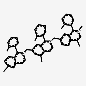 Cc1ccc2c(-c3ccccc3C)[n+](Cc3cc(C)c4cc[n+](Cc5ccc6c(C)c[n+](C)c(-c7ccccc7C)c6c5)c(-c5ccccc5C)c4c3)ccc2c1